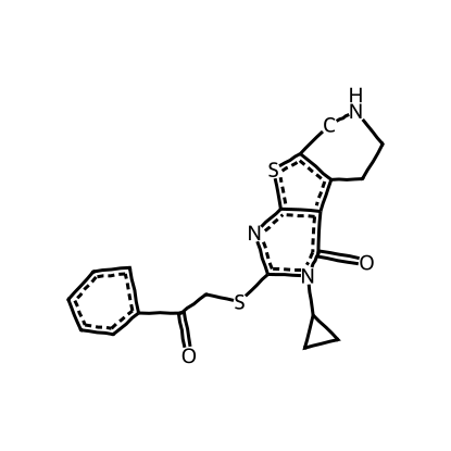 O=C(CSc1nc2sc3c(c2c(=O)n1C1CC1)CCNC3)c1ccccc1